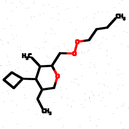 CCCCOOCC1OCC(CC)C(C2CCC2)C1C